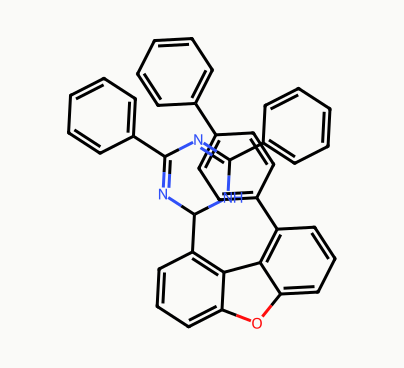 c1ccc(C2=NC(c3cccc4oc5cccc(-c6ccc(-c7ccccc7)cc6)c5c34)NC(c3ccccc3)=N2)cc1